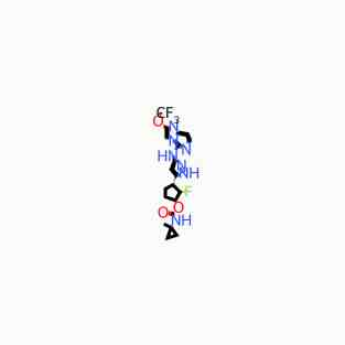 CC1(NC(=O)O[C@@H]2CC[C@H](c3cc(Nc4nccc5nc(OC(F)(F)F)cn45)n[nH]3)[C@H]2F)CC1